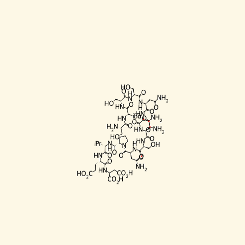 CC[C@H](C)[C@H](NC(=O)[C@@H](N)CO)C(=O)N[C@@H](CO)C(=O)N[C@@H](CO)C(=O)N[C@@H](CC(N)=O)C(=O)N[C@@H](CC(N)=O)C(=O)N[C@@H](CC(N)=O)C(=O)N[C@@H](CO)C(=O)N[C@@H](CC(N)=O)C(=O)N1CCC[C@H]1C(=O)N[C@H](C(=O)N[C@@H](CCC(=O)O)C(=O)N[C@@H](CC(=O)O)C(=O)O)C(C)C